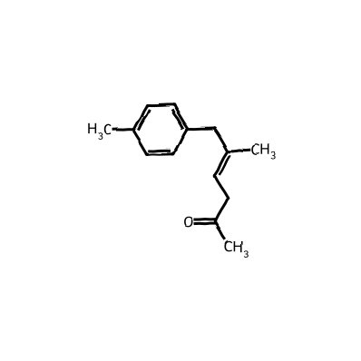 CC(=O)CC=C(C)Cc1ccc(C)cc1